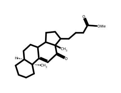 COC(=O)CCCC1CCC2C3CC[C@@H]4CCCC[C@]4(C)C3=CC(=O)C12C